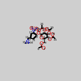 CC(=O)OC[C@H]1O[C@H](Oc2ccc(CN(C)C)cc2[N+](=O)[O-])[C@H](OC(C)=O)[C@@H](OC(C)=O)[C@H]1OC(C)=O